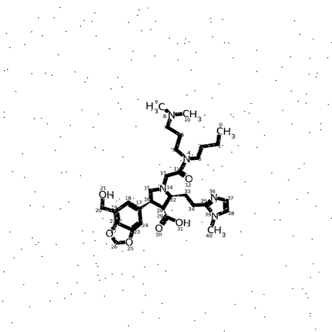 CCCCN(CCCN(C)C)C(=O)CN1C[C@H](c2cc(CO)c3c(c2)OCO3)[C@@H](C(=O)O)[C@@H]1CCc1nccn1C